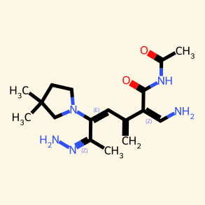 C=C(/C=C(\C(C)=N/N)N1CCC(C)(C)C1)/C(=C/N)C(=O)NC(C)=O